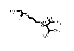 C=CC(=O)OCCC[SiH2]OC(C(C)C)C(C)C